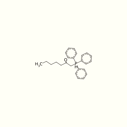 CCCCCC(=O)C[PH](c1ccccc1)(c1ccccc1)c1ccccc1